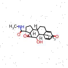 CC[C@]12C=CC(=O)C=C1CC[C@@H]1[C@@H]2[C@@H](O)C2C[C@@]23[C@H]1CC[C@]3(O)C(=O)NC